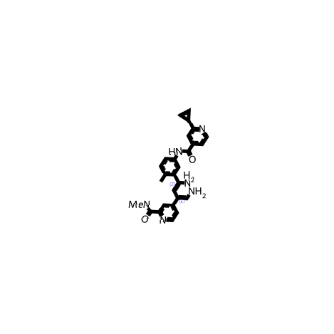 CNC(=O)c1cc(C(/C=C(\N)c2cc(NC(=O)c3ccnc(C4CC4)c3)ccc2C)=C/N)ccn1